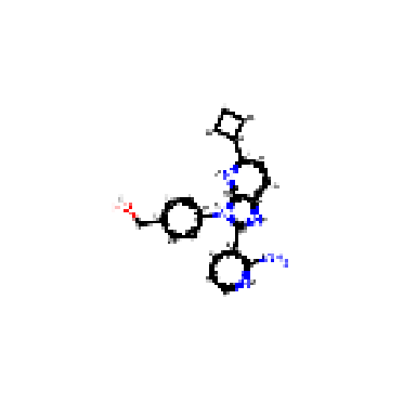 Nc1ncccc1-c1nc2ccc(C3CCC3)nc2n1-c1ccc(CO)cc1